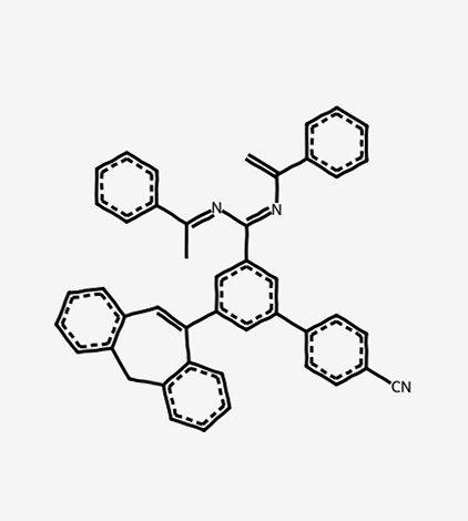 C=C(/N=C(\N=C(/C)c1ccccc1)c1cc(C2=Cc3ccccc3Cc3ccccc32)cc(-c2ccc(C#N)cc2)c1)c1ccccc1